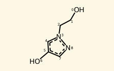 OCCn1cc(O)cn1